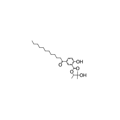 CCCCCCCCCCCC(=O)c1ccc(O)c(C(=O)OC(C)C(C)(C)O)c1